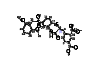 COC(=O)c1ccc(/C=C2/Sc3ccc(S(=O)(=O)Cc4c(OC)cccc4OC)cc3NC2=O)c([N+](=O)[O-])c1